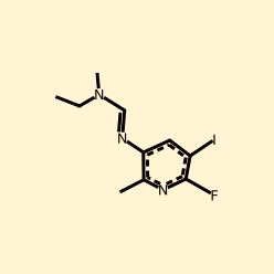 CCN(C)/C=N/c1cc(I)c(F)nc1C